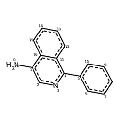 Nc1cnc(-c2ccccc2)c2ccccc12